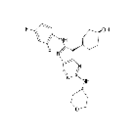 O[C@H]1CC[C@@H](C2C(Nc3ccc(F)cc3F)=Nc3cnc(NC4CCOCC4)nc32)CC1